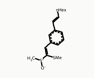 CCCCCC/C=C/c1cccc(/C=C(\SC)[S+](C)[O-])c1